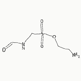 NCCOS(=O)(=O)CNC=O